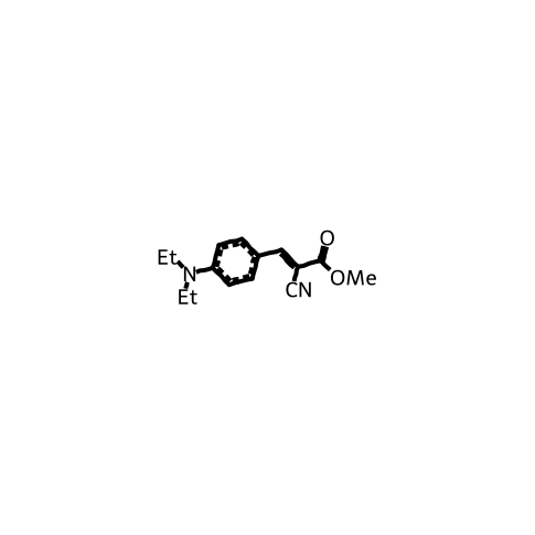 CCN(CC)c1ccc(/C=C(\C#N)C(=O)OC)cc1